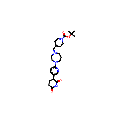 CC(C)(C)OC(=O)N1CCC(CN2CCCN(c3ccc(C4CCC(=O)NC4=O)cn3)CC2)CC1